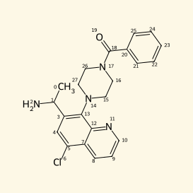 CC(N)c1cc(Cl)c2cccnc2c1N1CCN(C(=O)c2ccccc2)CC1